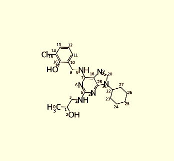 CC(O)CNc1nc(NCc2cccc(Cl)c2O)c2ncn(C3CCCCC3)c2n1